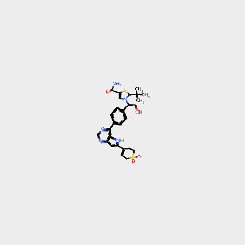 CC(C)(C)C1SC(C(N)=O)=CN1C(CO)c1ccc(-c2ncnc3cc(C4=CCS(=O)(=O)CC4)[nH]c23)cc1